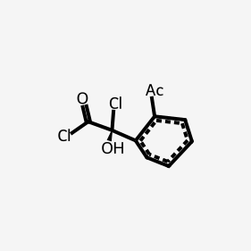 CC(=O)c1ccccc1[C@@](O)(Cl)C(=O)Cl